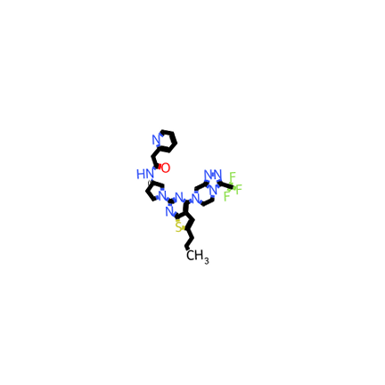 CCCc1cc2c(N3CCn4c(nnc4C(F)(F)F)C3)nc(N3CC[C@H](NC(=O)Cc4ccccn4)C3)nc2s1